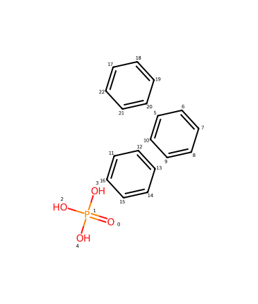 O=P(O)(O)O.c1ccccc1.c1ccccc1.c1ccccc1